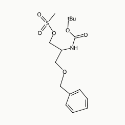 CC(C)(C)OC(=O)NC(COCc1ccccc1)COS(C)(=O)=O